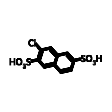 O=S(=O)(O)c1ccc2cc(S(=O)(=O)O)c(Cl)cc2c1